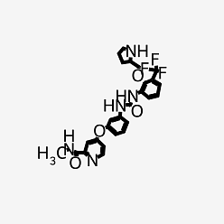 CNC(=O)c1cc(Oc2cccc(NC(=O)Nc3cccc(C(F)(F)F)c3OCC3CCCN3)c2)ccn1